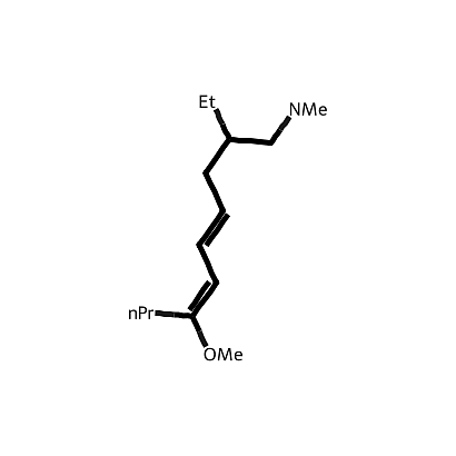 CCC/C(=C\C=CCC(CC)CNC)OC